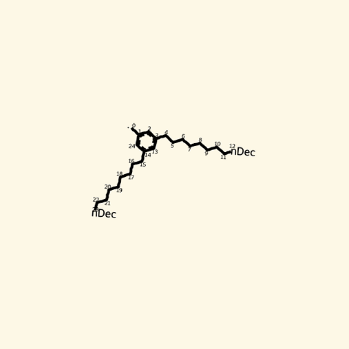 [CH2]c1cc(CCCCCCCCCCCCCCCCCC)cc(CCCCCCCCCCCCCCCCCC)c1